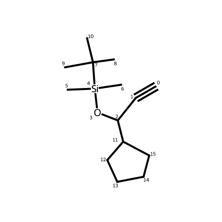 C#CC(O[Si](C)(C)C(C)(C)C)C1CCCC1